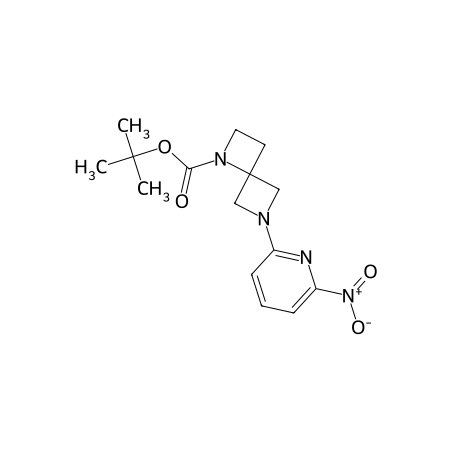 CC(C)(C)OC(=O)N1CCC12CN(c1cccc([N+](=O)[O-])n1)C2